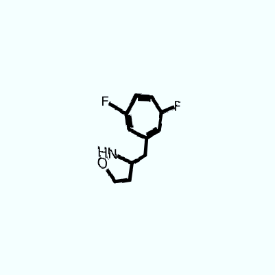 FC1=CC(CC2CCON2)=CC(F)C=C1